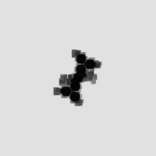 CC1(C)c2cc(N(c3ccc(Br)cc3)c3ccc(Br)cc3)ccc2-c2cc3c(cc21)-c1ccc(N(c2ccc(Br)cc2)c2ccc(Br)cc2)cc1C3(C)C